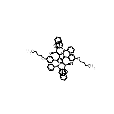 CCCCOc1ccc(-c2c3/c(=C(\C#N)c4nc5ccccc5s4)n(B(c4ccccc4)c4ccccc4)c(-c4ccc(OCCCC)cc4)c3/c(=C(\C#N)c3nc4ccccc4s3)n2B(c2ccccc2)c2ccccc2)cc1